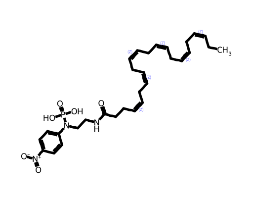 CC/C=C\C/C=C\C/C=C\C/C=C\C/C=C\C/C=C\CCC(=O)NCCN(c1ccc([N+](=O)[O-])cc1)P(=O)(O)O